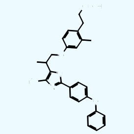 Cc1cc(OCC(C)c2oc(-c3ccc(Oc4ccccc4)cc3)nc2C(C)C)ccc1CCC(=O)O